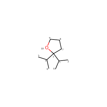 CC(C)C1(C(C)C)CCCO1